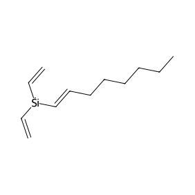 C=C[Si](C=C)C=CCCCCCC